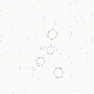 COc1cc(-c2nc(CCc3ccccc3)c(-c3ccc(N(C)C)cc3)[nH]2)cc(OC)c1O